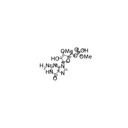 COC1C(O)[C@H](n2cnc3c(=O)[nH]c(N)nc32)O[C@@H]1COP(=O)(O)OC